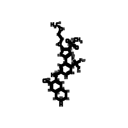 COCCOc1sc(-c2nc(Nc3cc4c(cc3Cl)CNCC4)ncc2C(F)(F)F)cc1S(C)(=O)=O